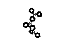 c1ccc(N(c2ccccc2)c2ccc(-n3c4ccccc4c4c5ccn(-c6ccccc6)c5ccc43)cc2)cc1